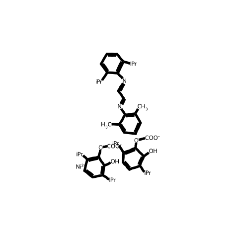 CC(C)c1ccc(C(C)C)c(OC(=O)[O-])c1O.CC(C)c1ccc(C(C)C)c(OC(=O)[O-])c1O.Cc1cccc(C)c1N=CC=Nc1c(C(C)C)cccc1C(C)C.[Ni+2]